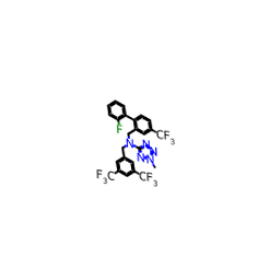 Cn1nnc(N(Cc2cc(C(F)(F)F)cc(C(F)(F)F)c2)Cc2cc(C(F)(F)F)ccc2-c2ccccc2F)n1